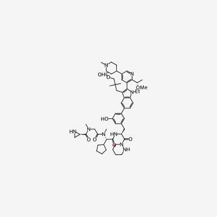 CCn1c(-c2cc(C3CCN(C)CC3)cnc2[C@H](C)OC)c(CC(C)(C)COC=O)c2cc(-c3cc(O)cc(C[C@H](NC(=O)[C@H](C4CCCC4)N(C)C(=O)CN(C)C(=O)[C@H]4CN4)C(=O)N4CCCCN4)c3)ccc21